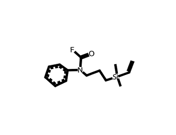 C=C[Si](C)(C)CCCN(C(=O)F)c1ccccc1